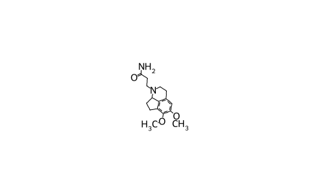 COc1cc2c3c(c1OC)CCC3N(CCC(N)=O)CC2